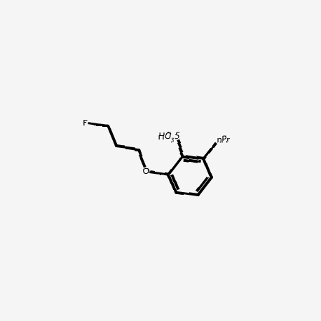 CCCc1cccc(OCCCF)c1S(=O)(=O)O